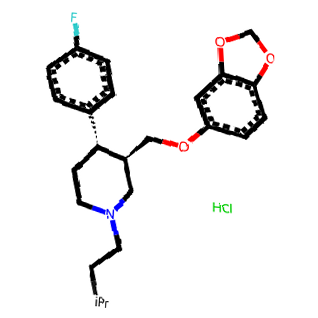 CC(C)CCN1CC[C@H](c2ccc(F)cc2)[C@@H](COc2ccc3c(c2)OCO3)C1.Cl